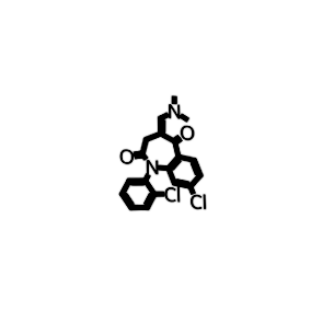 CN(C)C=C1CC(=O)N(c2ccccc2Cl)c2cc(Cl)ccc2C1=O